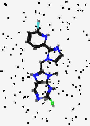 CCn1c(Cn2ccnc2-c2cccc(F)n2)nc2cnc(Cl)nc21